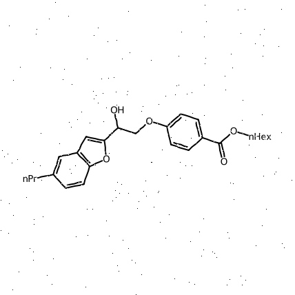 CCCCCCOC(=O)c1ccc(OCC(O)c2cc3cc(CCC)ccc3o2)cc1